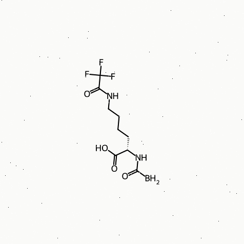 BC(=O)N[C@@H](CCCCNC(=O)C(F)(F)F)C(=O)O